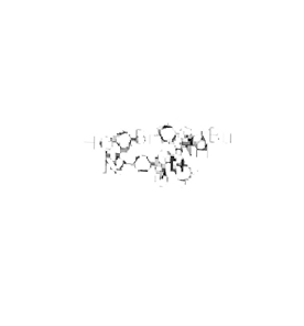 Cn1cc(-c2ccc(NC(=O)[C@H]3CCCCN3C(=O)C(NC(=O)OC(C)(C)C)c3ccccc3)cc2)c(-c2cc(Br)ccc2O)n1